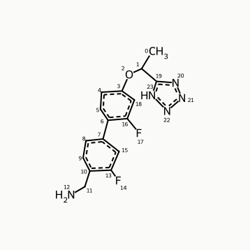 CC(Oc1ccc(-c2ccc(CN)c(F)c2)c(F)c1)c1nnn[nH]1